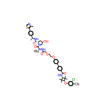 Cc1ncsc1-c1ccc([C@H](C)NC(=O)[C@@H]2C[C@@H](O)CN2C(=O)[C@@H](NC(=O)COCCOc2ccc(-c3ccc(C(=O)N[C@H]4C(C)(C)[C@H](Oc5ccc(C#N)c(Cl)c5)C4(C)C)cc3)cc2)C(C)(C)C)cc1